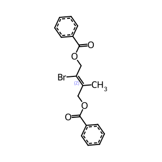 C/C(COC(=O)c1ccccc1)=C(/Br)COC(=O)c1ccccc1